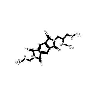 O=c1c2cc3c(=O)n(CC(CO[N+](=O)[O-])O[N+](=O)[O-])c(=O)c3cc2c(=O)n1CO[N+](=O)[O-]